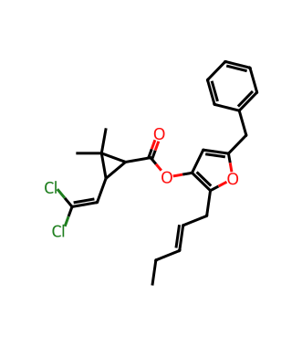 CCC=CCc1oc(Cc2ccccc2)cc1OC(=O)C1C(C=C(Cl)Cl)C1(C)C